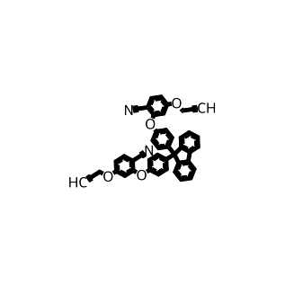 C#CCOc1ccc(C#N)c(Oc2ccc(C3(c4ccc(Oc5cc(OCC#C)ccc5C#N)cc4)c4ccccc4-c4ccccc43)cc2)c1